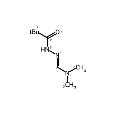 CN(C)/C=N/NC(=O)C(C)(C)C